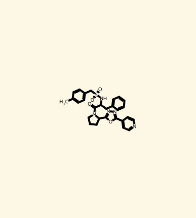 Cc1ccc(CS(=O)(=O)NC(Cc2ccccc2)C(=O)N2CCCC2c2nnc(-c3ccncc3)o2)cc1